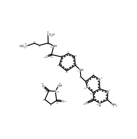 Nc1nc2ncc(CNc3ccc(C(=O)NC(CCC(=O)O)C(=O)O)cc3)nc2c(=O)[nH]1.O=C1CCC(=O)N1O